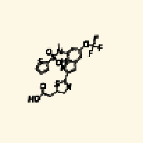 CN(c1cc(OC(F)(F)F)cc2cc(C3=NCC(CC(=O)O)S3)[nH]c12)S(=O)(=O)c1cccs1